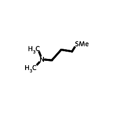 CSCCCN(C)C